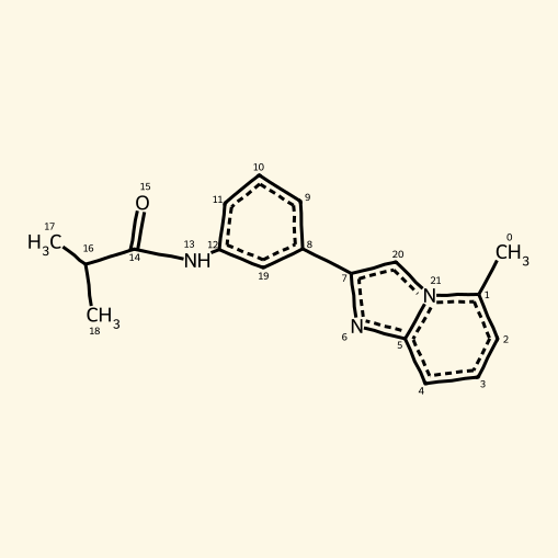 Cc1cccc2nc(-c3cccc(NC(=O)C(C)C)c3)cn12